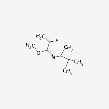 C=C(F)/C(=N\C(C)C(C)C)OC